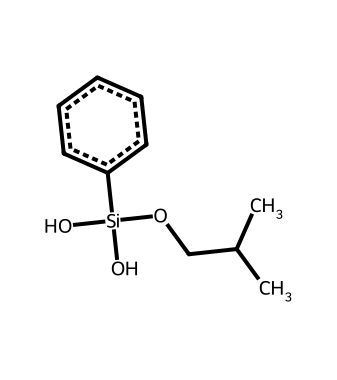 CC(C)CO[Si](O)(O)c1ccccc1